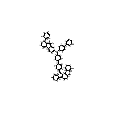 CC1(C)c2cc(N(c3ccc(-c4ccccc4)cc3)c3ccc(-c4ccc(-n5c6ccccc6c6ccc7oc8ccccc8c7c65)cc4)cc3)ccc2-c2cccc(-c3ccccc3)c21